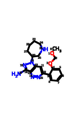 COCOc1ccccc1-c1cc2c(nn1)c(N)nn2C1CCCCNC1